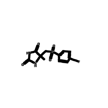 CC1(CS(=O)(=O)c2ccc(F)cc2)NC(=O)NC1=O